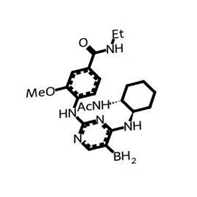 Bc1cnc(Nc2ccc(C(=O)NCC)cc2OC)nc1N[C@@H]1CCCC[C@H]1NC(C)=O